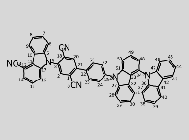 N#Cc1cc(-n2c3ccccc3c3c(C#N)cccc32)c(C#N)cc1-c1ccc(-n2c3ccccc3c3c(-n4c5ccccc5c5ccccc54)cccc32)cc1